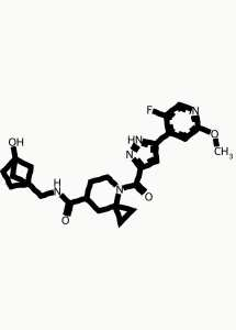 COc1cc(-c2cc(C(=O)N3CCC(C(=O)NCC45CCC(O)(C4)C5)CC34CC4)n[nH]2)c(F)cn1